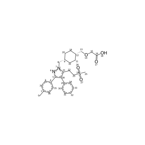 Cc1ccc(-c2nn(C[C@H]3CC[C@@H](COCC(=O)O)CC3)c(CCS(C)(=O)=O)c2-c2ccccc2)cc1